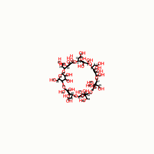 OCCC1OC(O)/C(O)=C(\O)C(CCO)OC(O)/C(O)=C(/O)C(CCO)OC2OC(CO)C(OC(O)/C(O)=C(\O)C(CCO)OC3OC(CO)C(OC4OC(CO)C(OC(O)/C(O)=C\1O)C(O)C4O)C(O)C3O)C(O)C2O